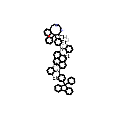 C=C1/C=C\C=C/Cc2ccccc2C1(c1ccccc1)c1ccc(N(c2c(CC)cccc2CC)c2ccc3ccc4c(N(c5ccc(C6(c7ccccc7)c7ccccc7-c7ccccc76)cc5)c5c(CC)cccc5CC)ccc5ccc2c3c54)cc1